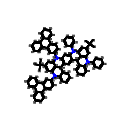 CC(C)(C)c1cc2c3c(c1)N(c1ccccc1)c1cc4c(cc1B3c1ccccc1N2c1ccccc1)B1c2ccccc2N(c2ccc3c5ccccc5c5ccccc5c3c2)c2cc(C(C)(C)C)cc(c21)N4c1ccc2c3ccccc3c3ccccc3c2c1